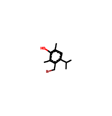 Cc1cc(C(C)C)c(CBr)c(C)c1O